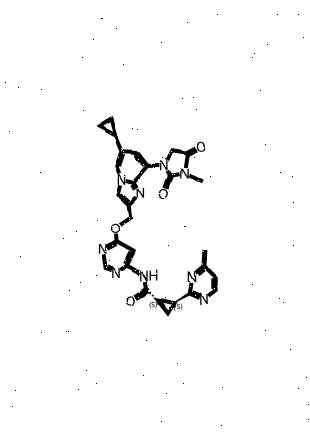 Cc1ccnc([C@H]2C[C@@H]2C(=O)Nc2cc(OCc3cn4cc(C5CC5)cc(N5CC(=O)N(C)C5=O)c4n3)ncn2)n1